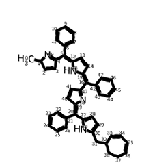 CC1C=CC(/C(c2ccccc2)=c2/cc/c(=C(C3=N/C(=C(/c4ccccc4)c4ccc(CC5C=CC=CCC5)[nH]4)C=C3)\c3ccccc3)[nH]2)=N1